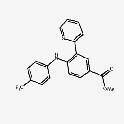 COC(=O)c1ccc(Nc2ccc(C(F)(F)F)cc2)c(-c2ccccn2)c1